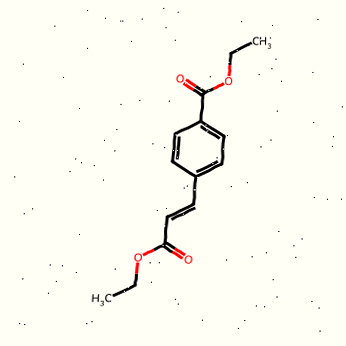 CCOC(=O)C=Cc1ccc(C(=O)OCC)cc1